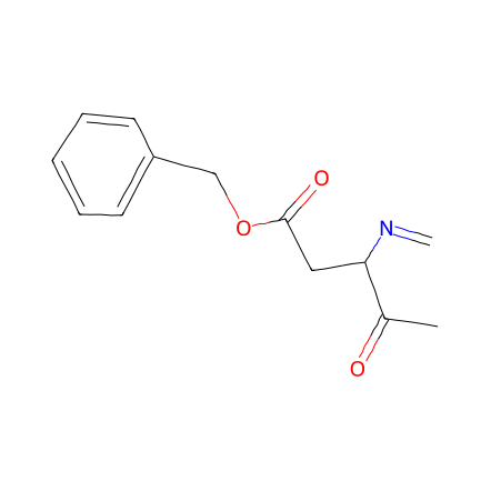 C=NC(CC(=O)OCc1ccccc1)C(C)=O